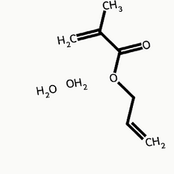 C=CCOC(=O)C(=C)C.O.O